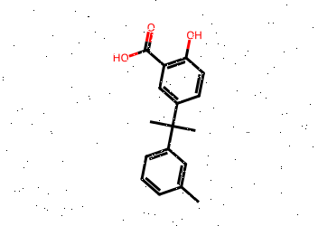 Cc1cccc(C(C)(C)c2ccc(O)c(C(=O)O)c2)c1